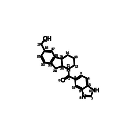 O=C(c1ccc2[nH]cnc2c1)N1CCCC2c3cc(CO)ccc3CC21